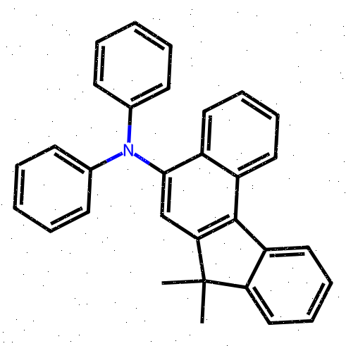 CC1(C)c2ccccc2-c2c1cc(N(c1ccccc1)c1ccccc1)c1ccccc21